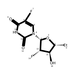 CC[C@H]1O[C@@H](n2cc(F)c(=O)[nH]c2=O)[C@@H](F)[C@@H]1O